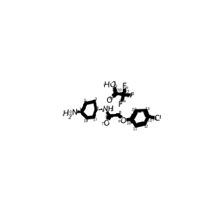 N[C@H]1CC[C@H](NC(=O)COc2ccc(Cl)cc2)CC1.O=C(O)C(F)(F)F